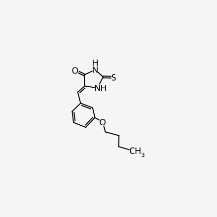 CCCCOc1cccc(/C=C2\NC(=S)NC2=O)c1